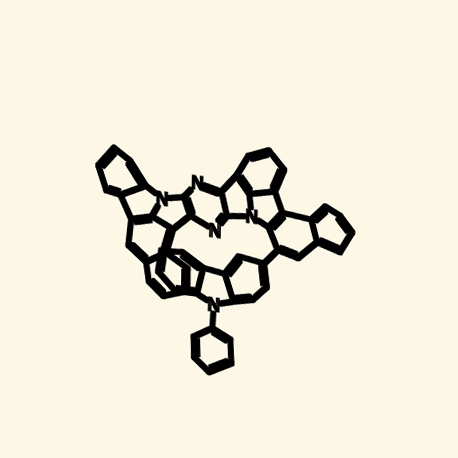 c1ccc(-n2c3ccccc3c3cc(-c4cc5ccccc5c5c6cccc7c8nc9c(nc8n(c45)c76)c4c5ccccc5cc5c6ccccc6n9c54)ccc32)cc1